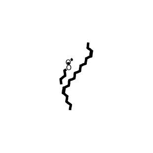 CC/C=C\CCCCCCCC/C=C\CCCC.CCCCOOC